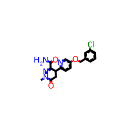 CN1N=C(C(N)=O)C(c2ccc(OCc3cccc(Cl)c3)cn2)CC1=O